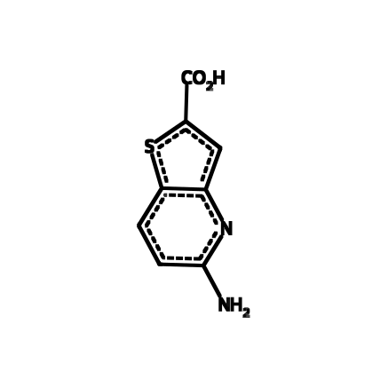 Nc1ccc2sc(C(=O)O)cc2n1